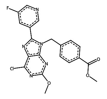 COC(=O)c1ccc(Cn2c(-c3cncc(F)c3)nc3c(Cl)nc(OC)nc32)cc1